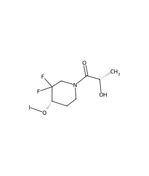 C[C@H](O)C(=O)N1CC[C@H](OI)C(F)(F)C1